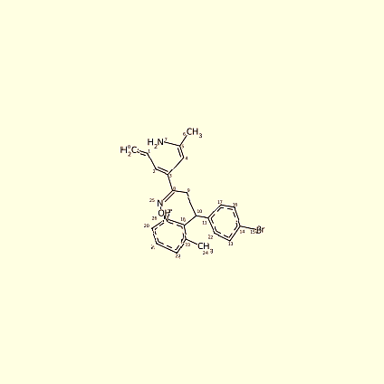 C=C/C=C(\C=C(\C)N)C(/CC(c1ccc(Br)cc1)c1ncccc1C)=N/O